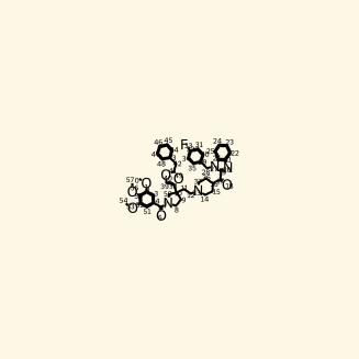 COc1cc(C(=O)N2CCC(CCN3CCC(C(=O)c4nc5ccccc5n4Cc4ccc(F)cc4)CC3)(C3=COC(Cc4ccccc4)O3)C2)cc(OC)c1OC